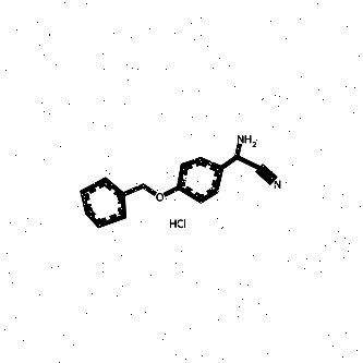 Cl.N#CC(N)c1ccc(OCc2ccccc2)cc1